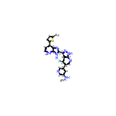 CC(=O)c1ccc(-c2ccnc3[nH]c(-c4n[nH]c5ncc(-c6cncc(NC(C)C)c6)c(F)c45)nc23)s1